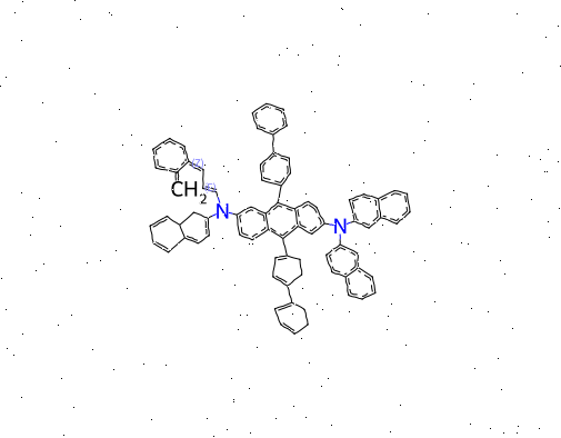 C=c1cccc/c1=C/C=C/N(C1=CC=C2C=CC=CC2C1)c1ccc2c(C3=CC=C(C4=CC=CCC4)CC3)c3cc(N(c4ccc5ccccc5c4)c4ccc5ccccc5c4)ccc3c(-c3ccc(-c4ccccc4)cc3)c2c1